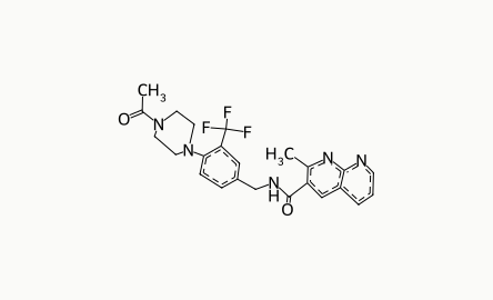 CC(=O)N1CCN(c2ccc(CNC(=O)c3cc4cccnc4nc3C)cc2C(F)(F)F)CC1